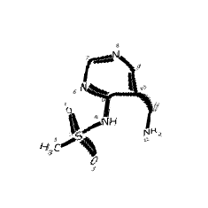 CS(=O)(=O)Nc1ncncc1CN